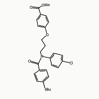 COC(=O)c1ccc(OCCCN(C(=O)c2ccc(C(C)(C)C)cc2)c2ccc(Cl)cc2)cc1